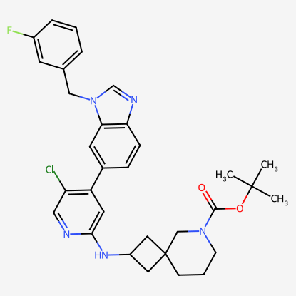 CC(C)(C)OC(=O)N1CCCC2(CC(Nc3cc(-c4ccc5ncn(Cc6cccc(F)c6)c5c4)c(Cl)cn3)C2)C1